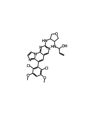 C=CC(O)NC1COCC1Nc1ncc2cc(-c3c(Cl)c(OC)cc(OC)c3Cl)c3nccn3c2n1